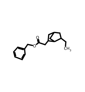 CCC1CC2CC(CC(=O)OCc3ccccc3)C1C2